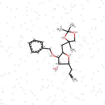 C=CCC1OC(CC2(C)COC(C)(C)O2)C(OCc2ccccc2)[C@H]1O